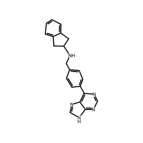 c1ccc2c(c1)CC(NCc1ccc(-c3ncnc4[nH]cnc34)cc1)C2